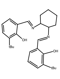 CC(C)(C)c1cccc(C=NC2CCCCC2N=Cc2cccc(C(C)(C)C)c2O)c1O